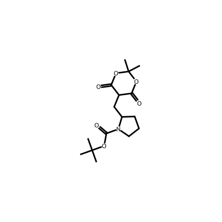 CC(C)(C)OC(=O)N1CCCC1CC1C(=O)OC(C)(C)OC1=O